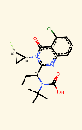 CC[C@@H](c1nc2cccc(Cl)c2c(=O)n1[C@@H]1C[C@@H]1F)N(C(=O)O)C(C)(C)C